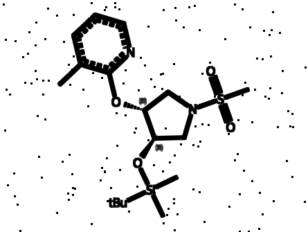 Cc1cccnc1O[C@@H]1CN(S(C)(=O)=O)C[C@H]1O[Si](C)(C)C(C)(C)C